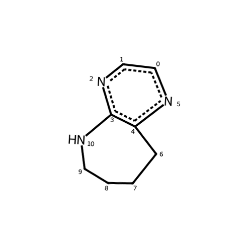 c1cnc2c(n1)CCCCN2